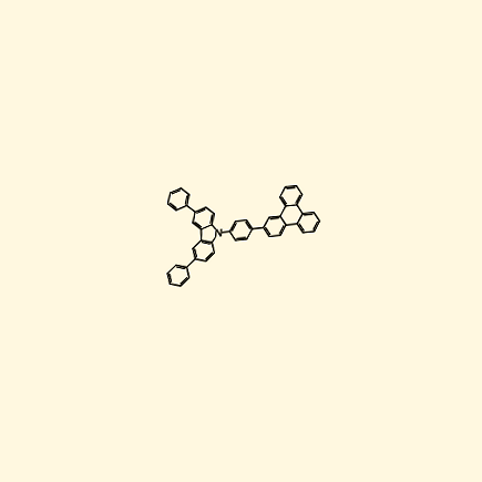 c1ccc(-c2ccc3c(c2)c2cc(-c4ccccc4)ccc2n3-c2ccc(-c3ccc4c5ccccc5c5ccccc5c4c3)cc2)cc1